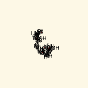 Cc1ncsc1-c1ccc([C@H](C)NC(=O)[C@@H]2C[C@@H](O)CN2C(=O)[C@@H](NC(=O)CC23C[C@H]4C[C@@H](C2)CC(CC(=O)N2CCN(CC#Cc5ccc(OCCCc6sc(N7CCCc8c7nnc(Nc7nc9ccccc9s7)c8C)nc6C(=O)O)c(F)c5)CC2)(C4)C3)C(C)(C)C)cc1